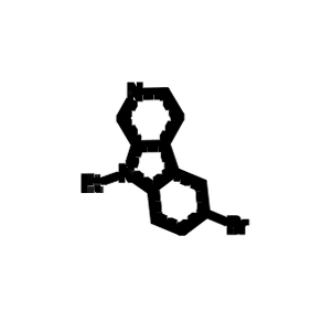 CCn1c2ccc(Br)cc2c2ccncc21